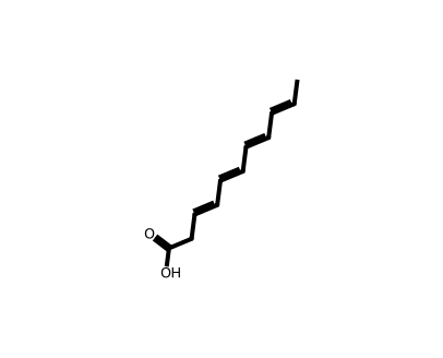 CC=CC=CC=CC=CCC(=O)O